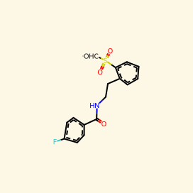 O=[C]S(=O)(=O)c1ccccc1CCNC(=O)c1ccc(F)cc1